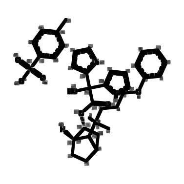 C[N+](C)(CCCOc1ccccc1)C1C2CC[C@@H]1[C@H](OC(=O)C(O)(c1cccs1)c1cccs1)C2.Cc1ccc(S(=O)(=O)[O-])cc1